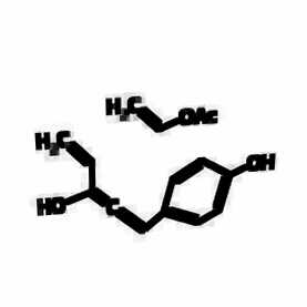 C=CC(O)=C=Cc1ccc(O)cc1.C=COC(C)=O